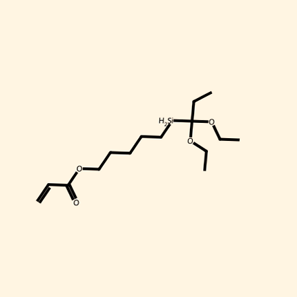 C=CC(=O)OCCCCC[SiH2]C(CC)(OCC)OCC